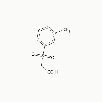 O=C(O)CS(=O)(=O)c1cccc(C(F)(F)F)c1